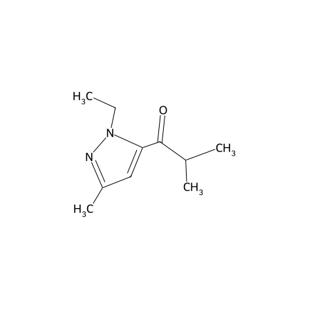 CCn1nc(C)cc1C(=O)C(C)C